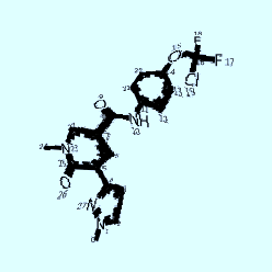 Cn1ccc(-c2cc(C(=O)Nc3ccc(OC(F)(F)Cl)cc3)cn(C)c2=O)n1